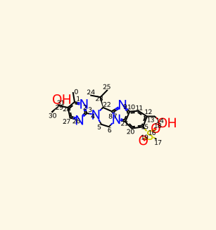 Cc1nc(N2CCn3c(nc4cc(CO)c(S(C)(=O)=O)cc43)[C@@H]2C(C)C)ncc1[C@@H](C)O